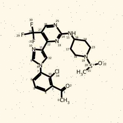 CC(=O)c1cccc(-n2cnc(-c3nc(NC4CCN([S+](C)[O-])CC4)ncc3C(F)(F)F)c2)c1Cl